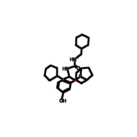 O=C(NCC1CCCCC1)NC(CC1CCCCC1)CN1C2CCC1CC(c1cccc(O)c1)C2